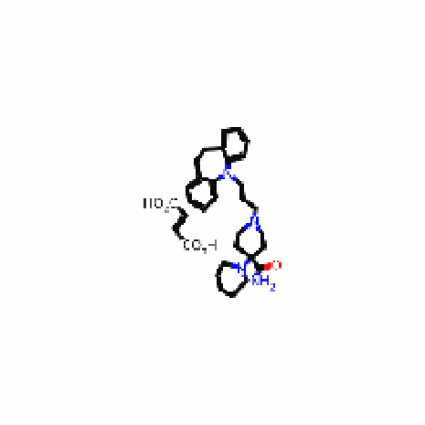 NC(=O)C1(N2CCCCC2)CCN(CCCN2c3ccccc3CCc3ccccc32)CC1.O=C(O)C=CC(=O)O